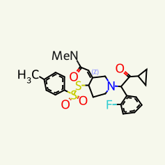 CNC(=O)/C=C1/CN(C(C(=O)C2CC2)c2ccccc2F)CCC1SS(=O)(=O)c1ccc(C)cc1